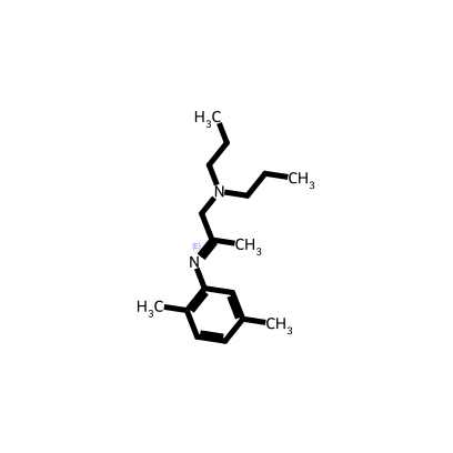 CCCN(CCC)C/C(C)=N/c1cc(C)ccc1C